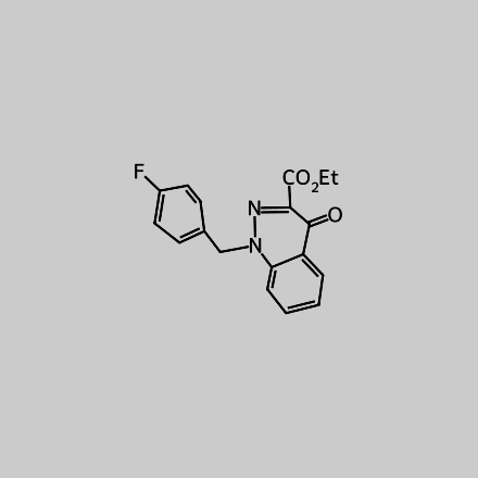 CCOC(=O)c1nn(Cc2ccc(F)cc2)c2ccccc2c1=O